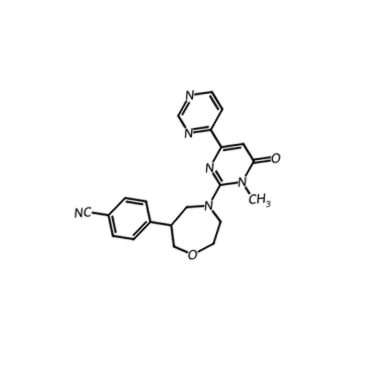 Cn1c(N2CCOCC(c3ccc(C#N)cc3)C2)nc(-c2ccncn2)cc1=O